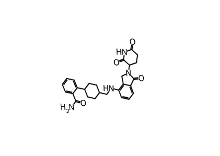 NC(=O)c1ccccc1C1CCC(CNc2cccc3c2CN(C2CCC(=O)NC2=O)C3=O)CC1